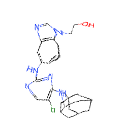 CC12CC3CC(C1)C(Nc1nc(Nc4ccc5c(c4)ncn5CCO)ncc1Cl)C(C3)C2